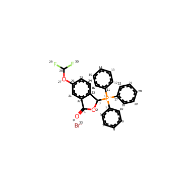 O=C1OC([P+](c2ccccc2)(c2ccccc2)c2ccccc2)c2ccc(OC(F)F)cc21.[Br-]